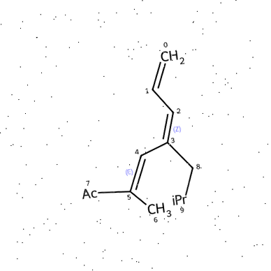 C=C/C=C(\C=C(/C)C(C)=O)CC(C)C